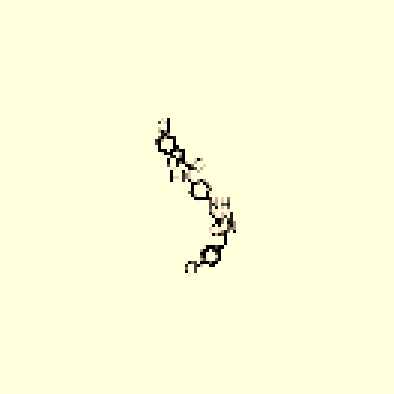 O=C(NC1CCC(NCc2nnc(Cc3ccc(Cl)cc3)o2)CC1)c1cc2cc(Cl)ccc2o1